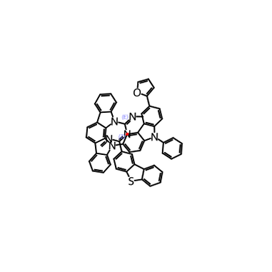 C=N/C(=N\C(=N/C)n1c2ccccc2c2ccc3c4ccccc4n(-c4ccc5c(c4)c4cc(-c6ccco6)ccc4n5-c4ccccc4)c3c21)c1ccc2sc3ccccc3c2c1